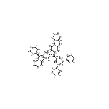 c1ccc(-c2cc(-c3ccccc3)nc(-n3c4cc5oc6ccccc6c5cc4c4cc5c(cc43)c3ccccc3n5-c3ccccc3)n2)cc1